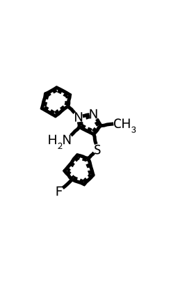 Cc1nn(-c2ccccc2)c(N)c1Sc1ccc(F)cc1